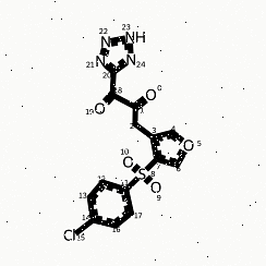 O=C(Cc1cocc1S(=O)(=O)c1ccc(Cl)cc1)C(=O)c1nn[nH]n1